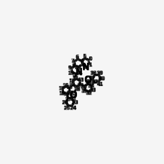 c1cnc2c(c1)ccc1ccc(-c3cc(-c4cccc5c4oc4ccccc45)cc(-c4cccc5c4oc4ccccc45)c3)nc12